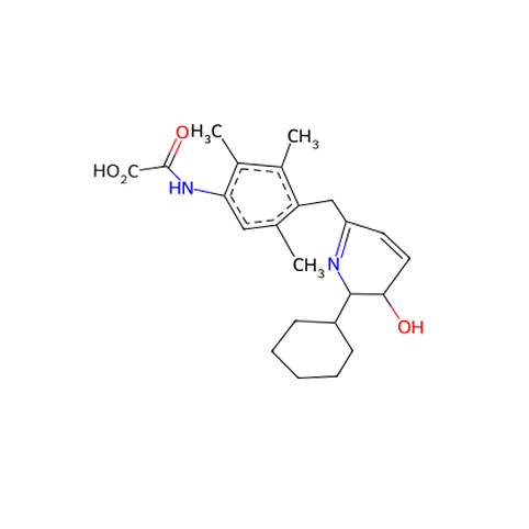 Cc1cc(NC(=O)C(=O)O)c(C)c(C)c1CC1=NC(C2CCCCC2)C(O)C=C1